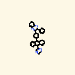 C1=Cc2c(c(-c3ccc(-c4nc5c(nc4-c4ccccc4)=CCCC=5)cc3)c3ccccc3c2-c2cnccn2)CC1